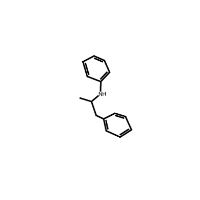 CC(Cc1ccccc1)Nc1ccccc1